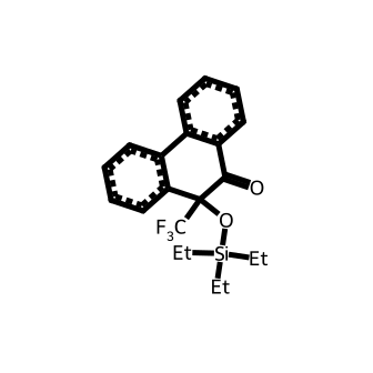 CC[Si](CC)(CC)OC1(C(F)(F)F)C(=O)c2ccccc2-c2ccccc21